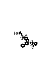 C=C(O)CCNC(=O)c1ccc(CN(c2ccc(C3CCCCC3)cc2)c2nc3c(s2)C(=O)c2ccccc2-3)cc1